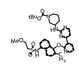 COCCS(=O)(=O)Nc1cccc2c(Oc3ncccc3-c3ccnc(NC4CCCN(C(=O)OC(C)(C)C)C4)n3)c(C)ccc12